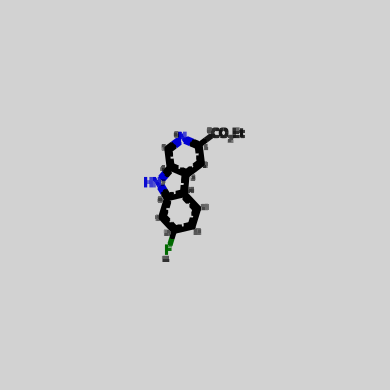 CCOC(=O)c1cc2c(cn1)[nH]c1cc(F)ccc12